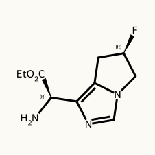 CCOC(=O)[C@H](N)c1ncn2c1C[C@@H](F)C2